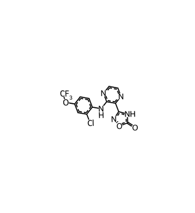 O=c1[nH]c(-c2nccnc2Nc2ccc(OC(F)(F)F)cc2Cl)no1